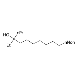 [CH2]CC(O)(CCC)CCCCCCCCCCCCCCCC